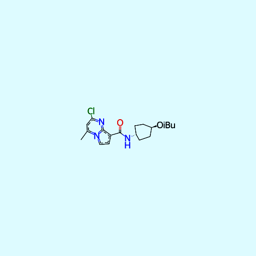 Cc1cc(Cl)nc2c(C(=O)N[C@H]3CC[C@H](OCC(C)C)CC3)ccn12